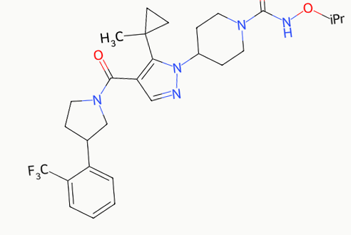 CC(C)ONC(=O)N1CCC(n2ncc(C(=O)N3CCC(c4ccccc4C(F)(F)F)C3)c2C2(C)CC2)CC1